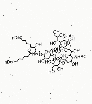 CCCCCCCCCCCCC/C=C/[C@@H](O)[C@H](CO[C@@H]1OC(CO)[C@@H](O[C@@H]2OC(CO)[C@H](O)[C@H](O[C@]3(C(=O)O)CC(O)[C@@H](NC(C)=O)C([C@H](O)[C@@H](CO)O[C@]4(C(=O)O)CC(O)[C@@H](NC(C)=O)C([C@H](O)[C@H](O)CO)O4)O3)C2O)[C@H](O)C1O)NC(=O)CCCCCCCCCCCCCCC